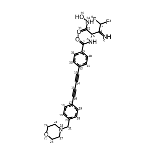 N=C(C(F)F)[C@H](NC(=O)c1ccc(C#CC#Cc2ccc(CN3CCOCC3)cc2)cc1)C(=O)NO